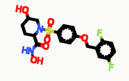 O=C(NO)C1CCC(O)CN1S(=O)(=O)c1ccc(OCc2cc(F)ccc2F)cc1